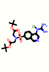 CC(C)(C)OC(=O)CN(CC(=O)OC(C)(C)C)S(=O)(=O)c1ccc2c(N(Cl)C(=N)N)cncc2c1